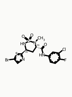 CN1[C@H](C(=O)Nc2ccc(F)c(Cl)c2)C[C@@H](c2ncc(Br)s2)NS1(=O)=O